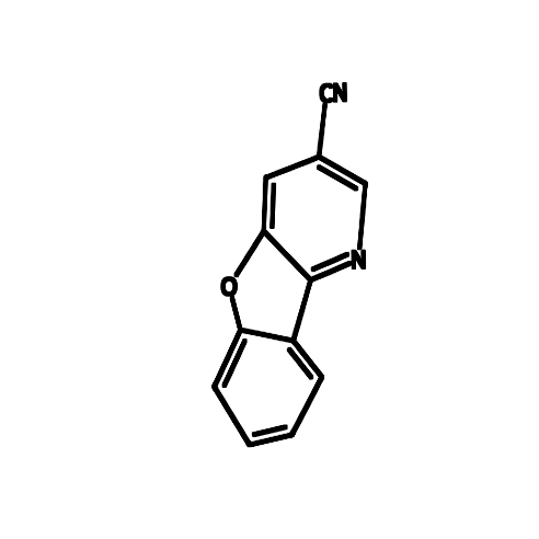 N#Cc1cnc2c(c1)oc1ccccc12